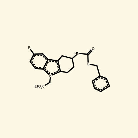 CCOC(=O)Cn1c2c(c3cc(F)ccc31)CC(NC(=O)OCc1ccccc1)CC2